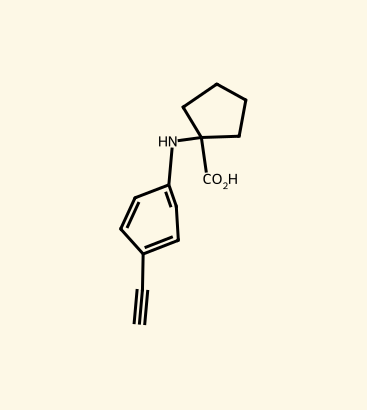 C#Cc1ccc(NC2(C(=O)O)CCCC2)cc1